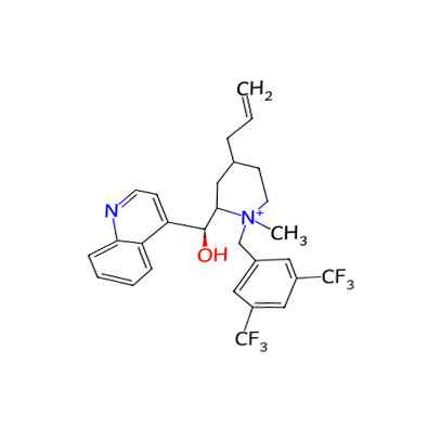 C=CCC1CC[N+](C)(Cc2cc(C(F)(F)F)cc(C(F)(F)F)c2)C([C@@H](O)c2ccnc3ccccc23)C1